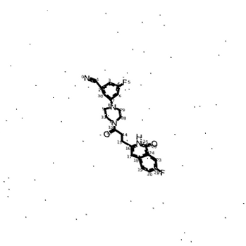 N#Cc1cc(F)cc(N2CCN(C(=O)CCc3cc4ccc(F)cc4c(=O)[nH]3)CC2)c1